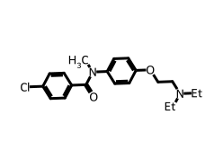 CCN(CC)CCOc1ccc(N(C)C(=O)c2ccc(Cl)cc2)cc1